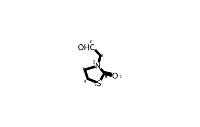 O=CCN1CCSC1=O